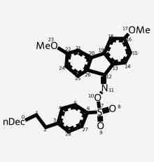 CCCCCCCCCCCCc1ccc(S(=O)(=O)ON=C2c3ccc(OC)cc3-c3cc(OC)ccc32)cc1